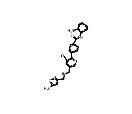 Cc1cc(CNCc2cnc(-c3ccc(C(=O)Nc4ccccc4N)cc3)c(Cl)c2)no1